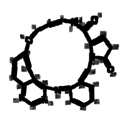 O=C1N/C=C\COc2ccc3ncnc(c3c2)/N=c2/cccc/c2=C/N2C(=O)CC=C12